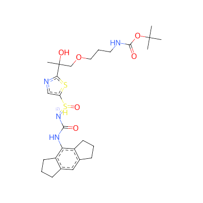 CC(C)(C)OC(=O)NCCCOCC(C)(O)c1ncc(/[SH](=O)=N/C(=O)Nc2c3c(cc4c2CCC4)CCC3)s1